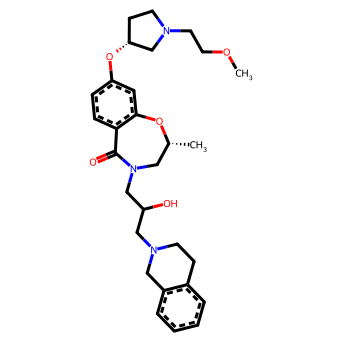 COCCN1CC[C@@H](Oc2ccc3c(c2)O[C@H](C)CN(CC(O)CN2CCc4ccccc4C2)C3=O)C1